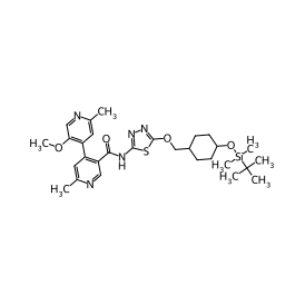 COc1cnc(C)cc1-c1cc(C)ncc1C(=O)Nc1nnc(OCC2CCC(O[Si](C)(C)C(C)(C)C)CC2)s1